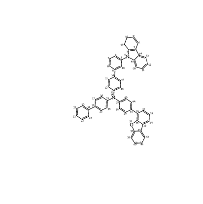 C1=Cc2c(n(-c3cccc(-c4ccc(N(c5ccc(-c6ccccc6)cc5)c5ccc(-c6cccc7c6oc6ccccc67)cc5)cc4)c3)c3ccccc23)CC1